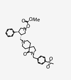 COC(=O)ON1C[C@H](CN2CCC3(CC2)CCN(Cc2ccc(S(C)(=O)=O)cc2)C3=O)[C@@H](c2ccccc2)C1